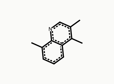 Cc1cnc2c(C)cccc2c1C